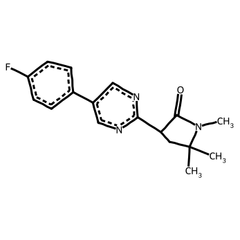 CN1C(=O)C(c2ncc(-c3ccc(F)cc3)cn2)CC1(C)C